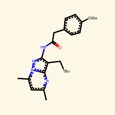 COc1ccc(CC(=O)Nc2nn3c(C)cc(C)nc3c2CC(C)(C)C)cc1